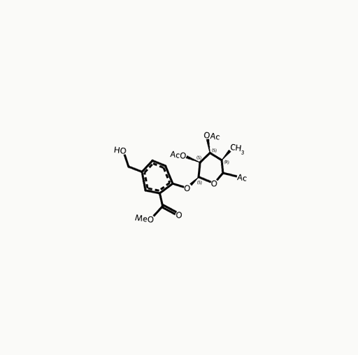 COC(=O)c1cc(CO)ccc1O[C@@H]1OC(C(C)=O)[C@H](C)[C@H](OC(C)=O)[C@@H]1OC(C)=O